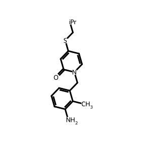 Cc1c(N)cccc1Cn1ccc(SCC(C)C)cc1=O